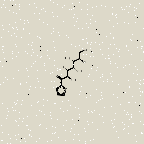 O=C(c1ccco1)C(O)[C@H](O)[C@@H](O)[C@H](O)[C@H](O)CO